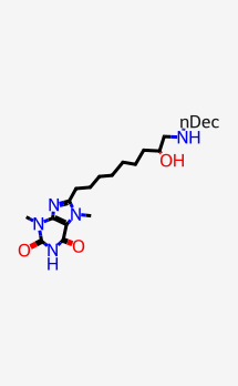 CCCCCCCCCCNCC(O)CCCCCCCc1nc2c(c(=O)[nH]c(=O)n2C)n1C